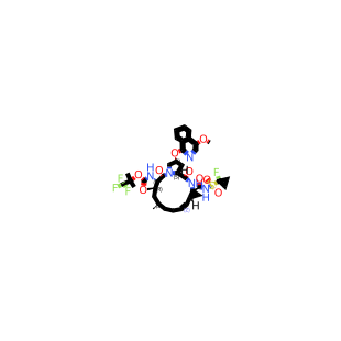 COc1cnc(O[C@@H]2C[C@H]3C(=O)N[C@]4(C(=O)NS(=O)(=O)C5(F)CC5)C[C@H]4/C=C\CC[C@H](C)C[C@@H](C)[C@H](NC(=O)OC(C)(C)C(F)(F)F)C(=O)N3C2)c2ccccc12